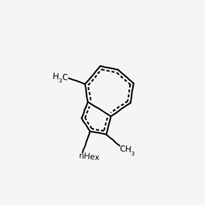 CCCCCCc1cc2c(C)ccccc-2c1C